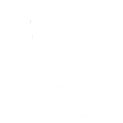 BCC1CCC(OC(F)(F)c2ccc(-c3ccc(-c4ccc(C5CO5)c(F)c4F)cc3)c(F)c2F)OC1